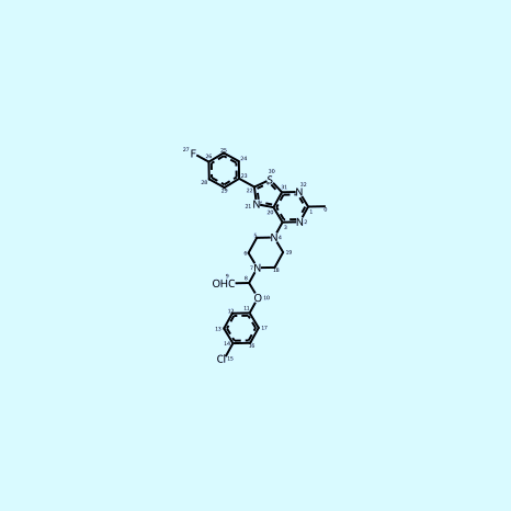 Cc1nc(N2CCN(C(C=O)Oc3ccc(Cl)cc3)CC2)c2nc(-c3ccc(F)cc3)sc2n1